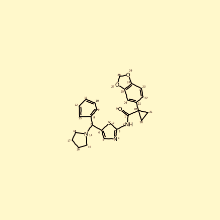 O=C(Nc1ncc(C(c2ccccc2)N2CCCC2)s1)C1(c2ccc3c(c2)OCO3)CC1